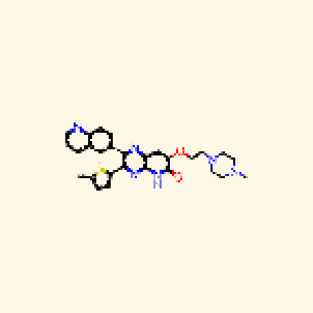 Cc1ccc(-c2nc3[nH]c(=O)c(OCCN4CCN(C)CC4)cc3nc2-c2ccc3ncccc3c2)s1